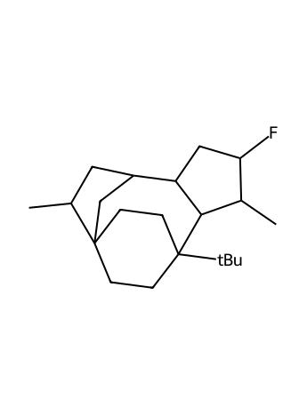 CC1C(F)CC2C3CC(C)C4(CCC(C(C)(C)C)(CC4)C12)C3